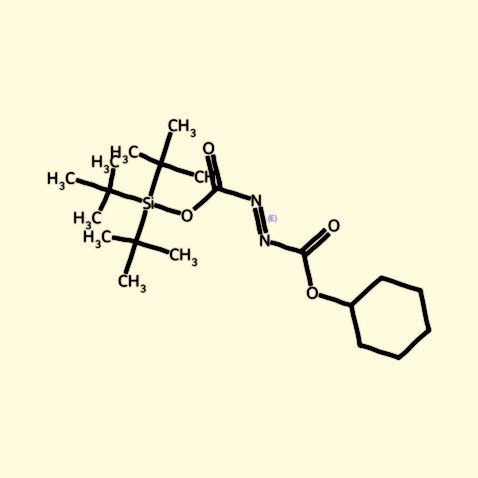 CC(C)(C)[Si](OC(=O)/N=N/C(=O)OC1CCCCC1)(C(C)(C)C)C(C)(C)C